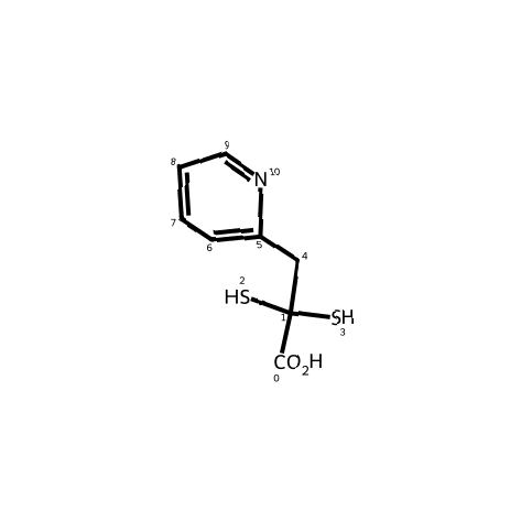 O=C(O)C(S)(S)Cc1ccccn1